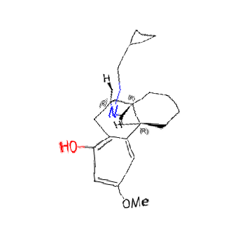 COc1cc(O)c2c(c1)[C@@]13CCCC[C@H]1[C@@H](C2)N(CC1CC1)CC3